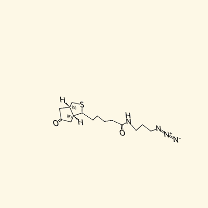 [N-]=[N+]=NCCCNC(=O)CCCCC1SC[C@H]2CC(=O)C[C@@H]12